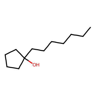 CCCCCCCC1(O)CCCC1